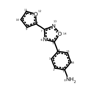 Nc1ccc(-c2nc(-c3ccco3)no2)cc1